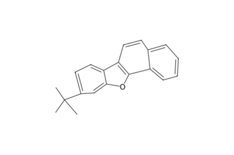 CC(C)(C)c1ccc2c(c1)oc1c3ccccc3ccc21